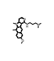 COc1ccc2c(C)c3c(cc2c1)c1c(NCCCN(C)C)nccc1n3C